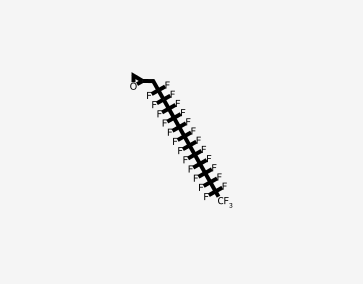 FC(F)(F)C(F)(F)C(F)(F)C(F)(F)C(F)(F)C(F)(F)C(F)(F)C(F)(F)C(F)(F)C(F)(F)C(F)(F)C(F)(F)C(F)(F)CC1CO1